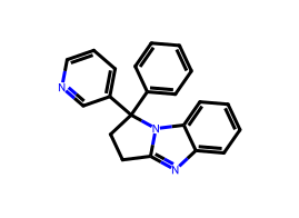 c1ccc(C2(c3cccnc3)CCc3nc4ccccc4n32)cc1